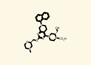 CN1CCO[C@@H](COc2nc3c(c(N4CCN(C(=O)O)[C@@H](CC#N)C4)n2)CCN(c2cccc4ccccc24)C3)C1